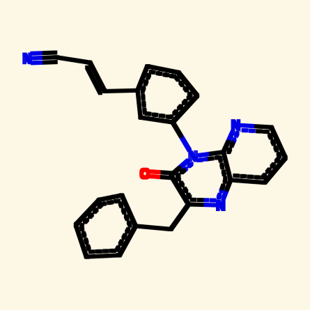 N#CC=Cc1cccc(-n2c(=O)c(Cc3ccccc3)nc3cccnc32)c1